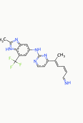 C/C(=C\C=C/C=N)c1ccnc(Nc2cc(C(F)(F)F)c3[nH]c(C)nc3c2)n1